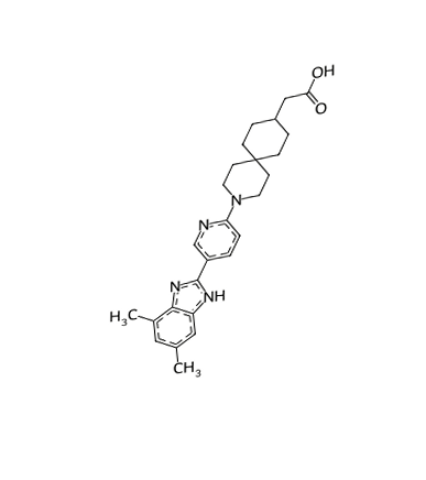 Cc1cc(C)c2nc(-c3ccc(N4CCC5(CCC(CC(=O)O)CC5)CC4)nc3)[nH]c2c1